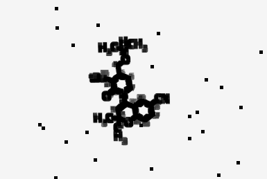 C[SiH](C)OCc1ccn(C2=CC(C)(C)Oc3ccc(C#N)cc32)c(=O)c1C(C)(C)C